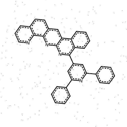 c1ccc(-c2cc(-c3nc4nc5c(ccc6cccnc65)cc4c4ccccc34)cc(-c3ccccc3)n2)cc1